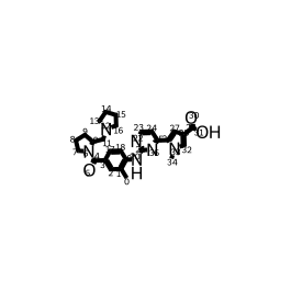 Cc1cc(C(=O)N2CCCC2CN2CCCC2)ccc1Nc1nccc(-c2cc(C(=O)O)cn2C)n1